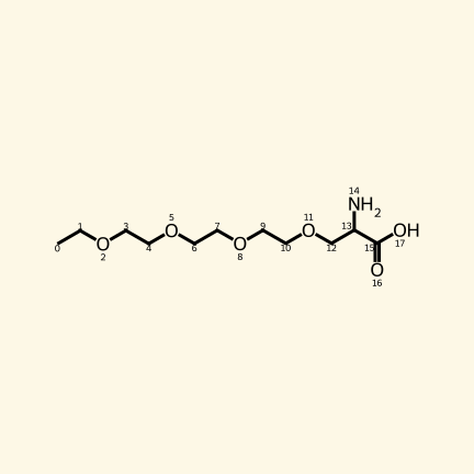 CCOCCOCCOCCOCC(N)C(=O)O